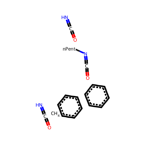 C.CCCCCN=C=O.N=C=O.N=C=O.c1ccccc1.c1ccccc1